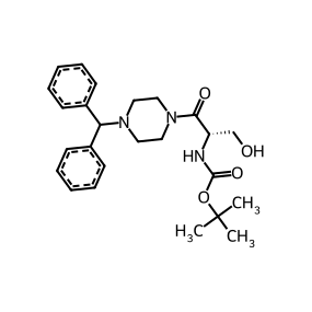 CC(C)(C)OC(=O)N[C@@H](CO)C(=O)N1CCN(C(c2ccccc2)c2ccccc2)CC1